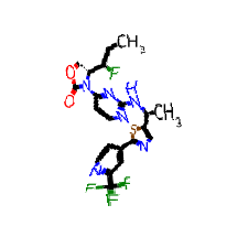 CC[C@@H](F)[C@H]1COC(=O)N1c1ccnc(N[C@@H](C)c2cnc(-c3ccnc(C(F)(F)F)c3)s2)n1